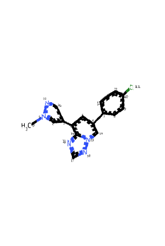 Cn1cc(-c2cc(-c3ccc(Cl)cc3)cn3ncnc23)cn1